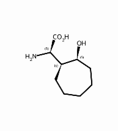 N[C@@H](C(=O)O)[C@@H]1CCCCC[C@@H]1O